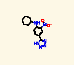 O=[N+]([O-])c1cc(-c2nnn[nH]2)ccc1NC1CCCCC1